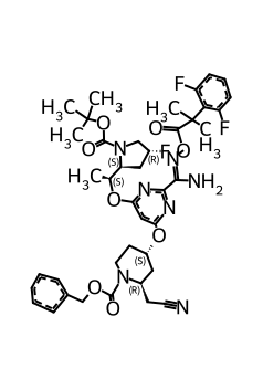 C[C@H](Oc1cc(O[C@H]2CCN(C(=O)OCc3ccccc3)[C@H](CC#N)C2)nc(C(N)=NOC(=O)C(C)(C)c2c(F)cccc2F)n1)[C@@H]1C[C@@H](F)CN1C(=O)OC(C)(C)C